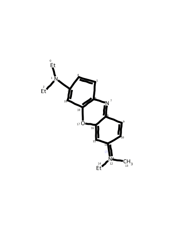 CCN(CC)c1ccc2nc3cc/c(=[N+](\C)CC)cc-3oc2c1